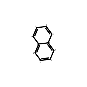 [c]1[c]cc2ccccc2[c]1